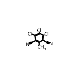 Cc1c(C#N)c(Cl)c(Cl)c(Cl)c1C#N